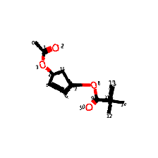 CC(=O)OC1C=CC(OC(=O)C(C)(C)C)C1